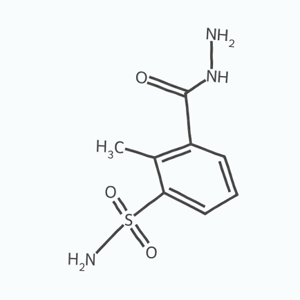 Cc1c(C(=O)NN)cccc1S(N)(=O)=O